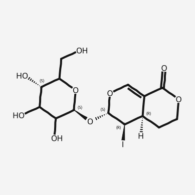 O=C1OCC[C@@H]2C1=CO[C@@H](O[C@@H]1OC(CO)[C@@H](O)C(O)C1O)[C@@H]2I